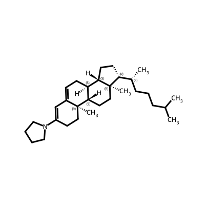 CC(C)CCC[C@@H](C)[C@H]1CC[C@H]2[C@@H]3CC=C4C=C(N5CCCC5)CC[C@]4(C)[C@H]3CC[C@]12C